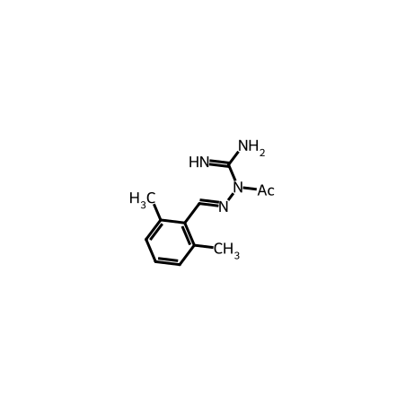 CC(=O)N(/N=C/c1c(C)cccc1C)C(=N)N